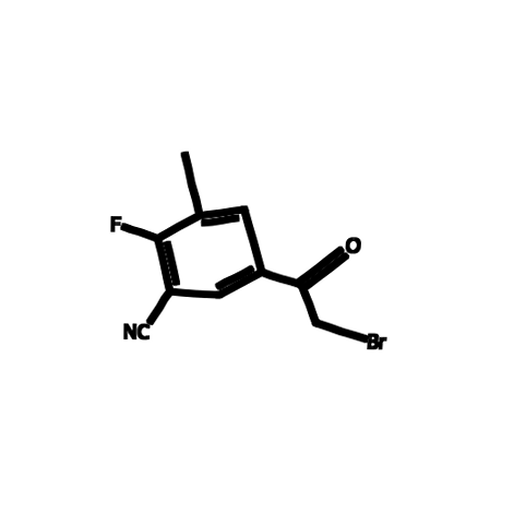 Cc1cc(C(=O)CBr)cc(C#N)c1F